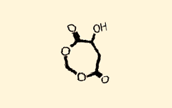 O=C1CC(O)C(=O)OCO1